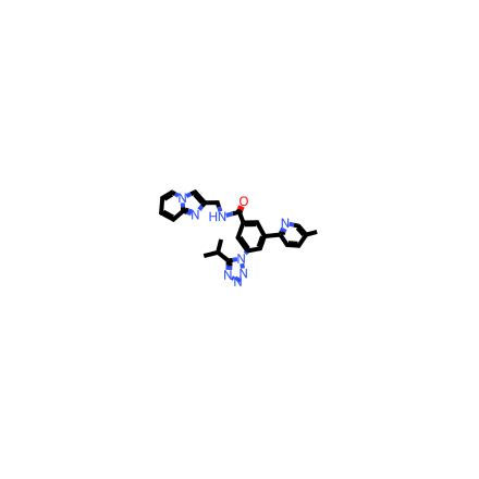 Cc1ccc(-c2cc(C(=O)NCc3cn4ccccc4n3)cc(-n3nnnc3C(C)C)c2)nc1